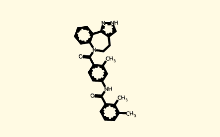 Cc1cc(NC(=O)c2cccc(C)c2C)ccc1C(=O)N1CCc2c[nH]nc2-c2ccccc21